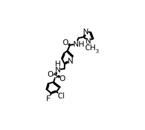 Cn1ccnc1CNC(=O)c1ccc(CNS(=O)(=O)c2ccc(F)c(Cl)c2)nc1